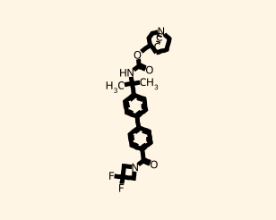 CC(C)(NC(=O)OC1CCN2CCC1CC2)c1ccc(-c2ccc(C(=O)N3CC(F)(F)C3)cc2)cc1